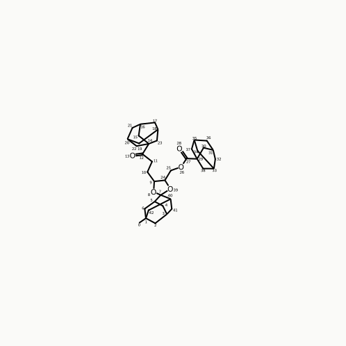 CC12CC3CC(C1)C1(OC(CCC(=O)C45CC6CC(CC(C6)C4)C5)C(COC(=O)C45CC6CC(CC(C6)C4)C5)O1)C(C3)C2